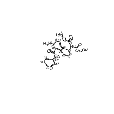 CC(C)(C)OC(=O)N(C(=O)OC(C)(C)C)c1nccc2c(C(=O)Oc3ccccc3)c(N)ccc12